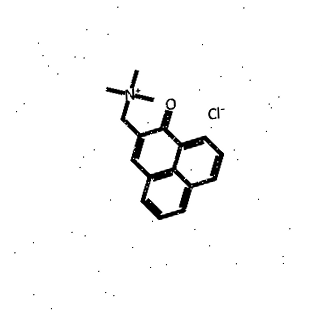 C[N+](C)(C)CC1=Cc2cccc3cccc(c23)C1=O.[Cl-]